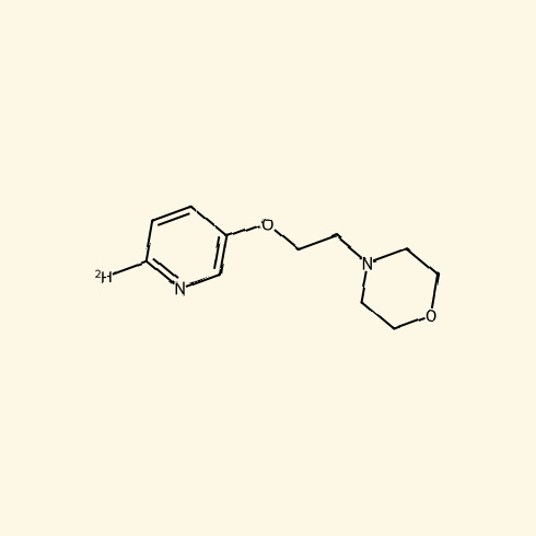 [2H]c1ccc(OCCN2CCOCC2)cn1